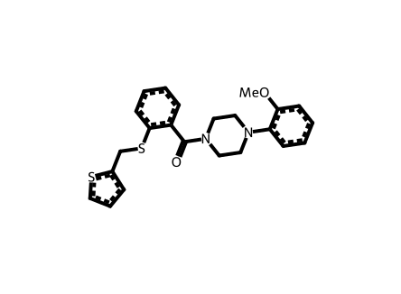 COc1ccccc1N1CCN(C(=O)c2ccccc2SCc2cccs2)CC1